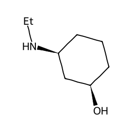 CCN[C@H]1CCC[C@@H](O)C1